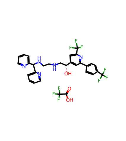 O=C(O)C(F)(F)F.O[C@H](CNCCNC(c1ccccn1)c1ccccn1)c1cc(-c2ccc(C(F)(F)F)cc2)nc(C(F)(F)F)c1